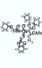 COC(C)=C(C(=O)OC(c1ccccc1)c1ccccc1)N1C(=O)C(NC(=O)COc2ccccc2)C1SSc1nc2ccccc2o1